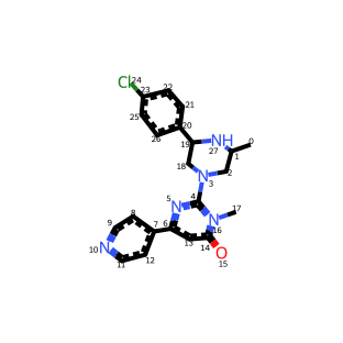 CC1CN(c2nc(-c3ccncc3)cc(=O)n2C)CC(c2ccc(Cl)cc2)N1